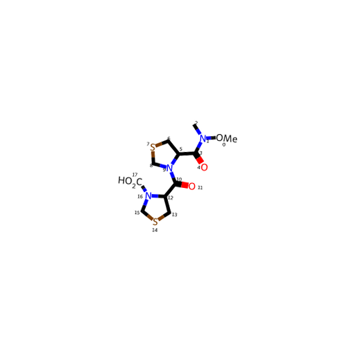 CON(C)C(=O)C1CSCN1C(=O)C1CSCN1C(=O)O